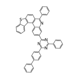 c1ccc(-c2ccc(-c3nc(-c4ccccc4)nc(-c4ccc5c(c4)nc(-c4ccccc4)c4ccc6sc7ccccc7c6c45)n3)cc2)cc1